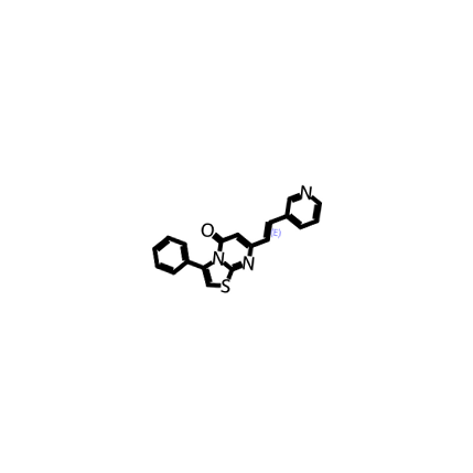 O=c1cc(/C=C/c2cccnc2)nc2scc(-c3ccccc3)n12